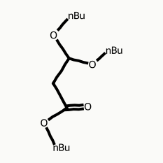 CCCCOC(=O)CC(OCCCC)OCCCC